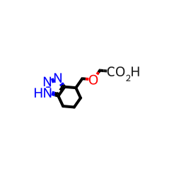 O=C(O)COCC1CCCc2[nH]nnc21